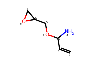 C=CC(N)OCC1CO1